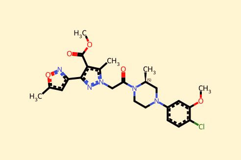 COC(=O)c1c(-c2cc(C)on2)nn(CC(=O)N2CCN(c3ccc(Cl)c(OC)c3)C[C@@H]2C)c1C